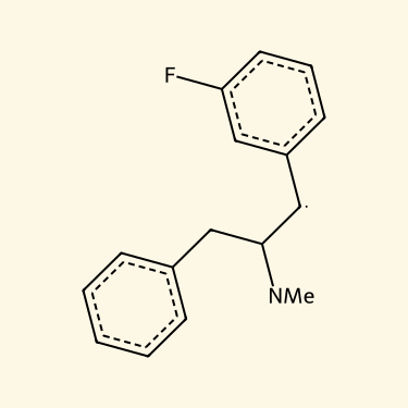 CNC([CH]c1cccc(F)c1)Cc1ccccc1